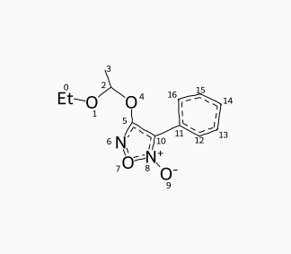 CCOC(C)Oc1no[n+]([O-])c1-c1ccccc1